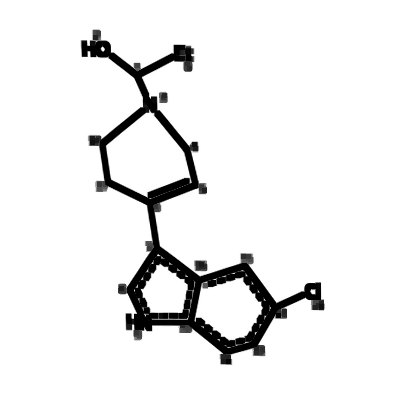 CCC(O)N1CC=C(c2c[nH]c3ccc(Cl)cc23)CC1